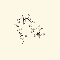 CC1CN(CCC(C)C2CCN(C(C)CCC3CCN(C(C)C)CC3)C2)C1